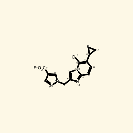 CCOC(=O)c1cnn(Cc2cn3c(Cl)c(C4CC4)ccc3n2)c1